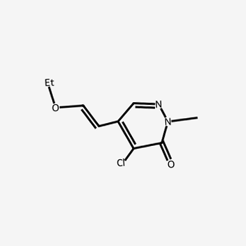 CCOC=Cc1cnn(C)c(=O)c1Cl